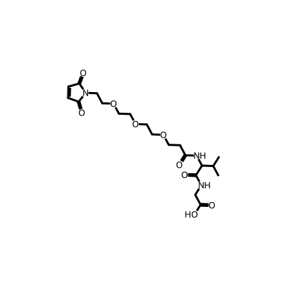 CC(C)C(NC(=O)CCOCCOCCOCCN1C(=O)C=CC1=O)C(=O)NCC(=O)O